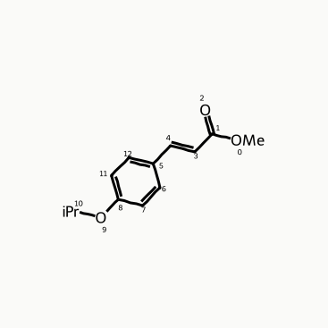 COC(=O)/C=C/c1ccc(OC(C)C)cc1